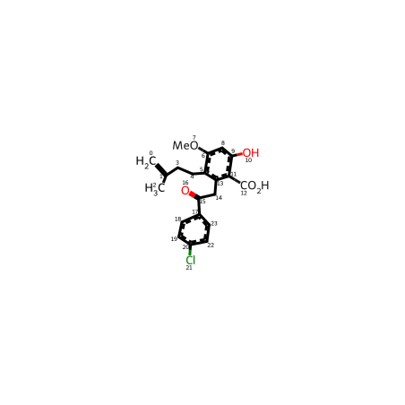 C=C(C)CCc1c(OC)cc(O)c(C(=O)O)c1CC(=O)c1ccc(Cl)cc1